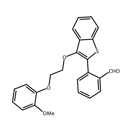 COc1ccccc1OCCOc1c(-c2ccccc2C=O)sc2ccccc12